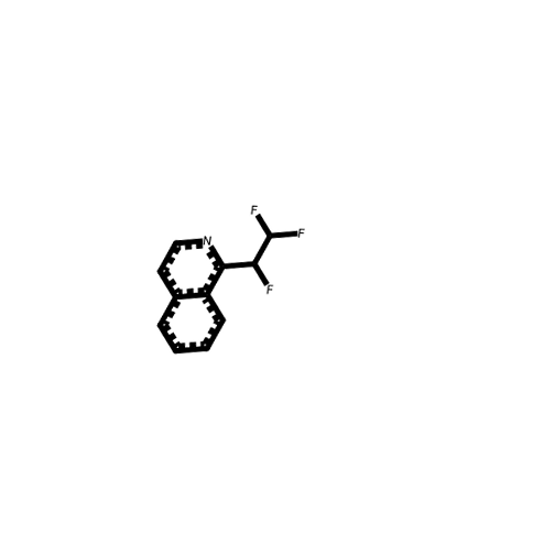 FC(F)C(F)c1nccc2ccccc12